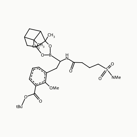 CNS(=O)(=O)CCCC(=O)NC(Cc1cccc(C(=O)OC(C)(C)C)c1OC)B1OC2CC3CC(C3(C)C)C2(C)O1